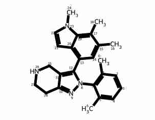 Cc1cccc(C)c1-n1nc2c(c1-c1cc(C)c(C)c3c1ccn3C)CNCC2